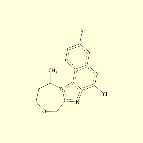 CC1CCOCc2nc3c(Cl)nc4cc(Br)ccc4c3n21